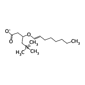 CCCCCCC=COC(CC(=O)[O-])C[N+](C)(C)C